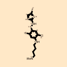 CNCCCCNc1cc(F)c(SNc2ncc(F)s2)cc1Cl